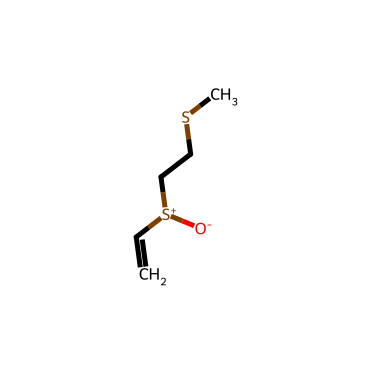 C=C[S+]([O-])CCSC